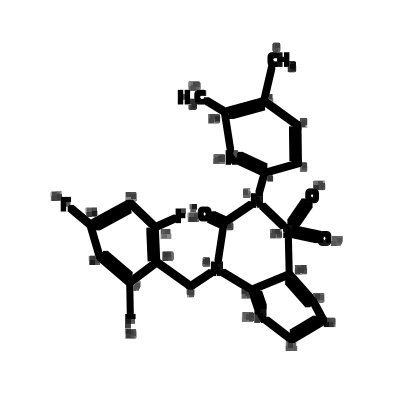 Cc1ccc(N2C(=O)N(Cc3c(F)cc(F)cc3F)c3ncccc3S2(=O)=O)nc1C